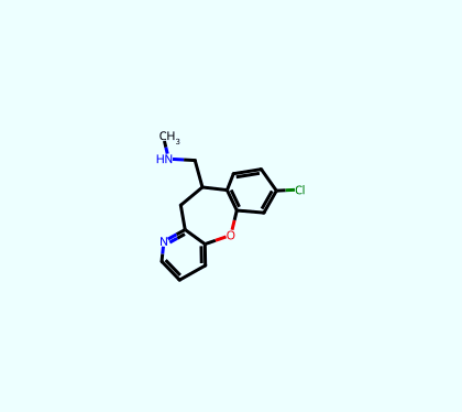 CNCC1Cc2ncccc2Oc2cc(Cl)ccc21